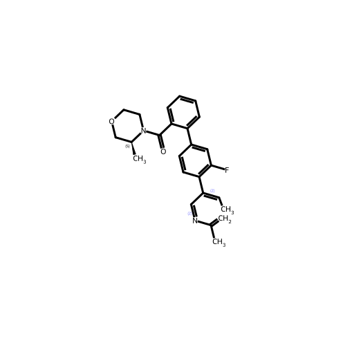 C=C(C)/N=C\C(=C/C)c1ccc(-c2ccccc2C(=O)N2CCOC[C@@H]2C)cc1F